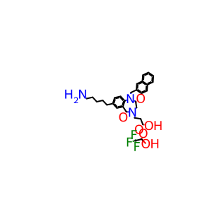 NCCCCCc1ccc2c(c1)C(=O)N(CCC(=O)O)CC(=O)N2Cc1ccc2ccccc2c1.O=C(O)C(F)(F)F